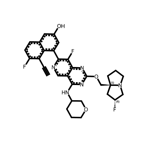 C#Cc1c(F)ccc2cc(O)cc(-c3ncc4c(NC5CCCOC5)nc(OC[C@@]56CCCN5C[C@H](F)C6)nc4c3F)c12